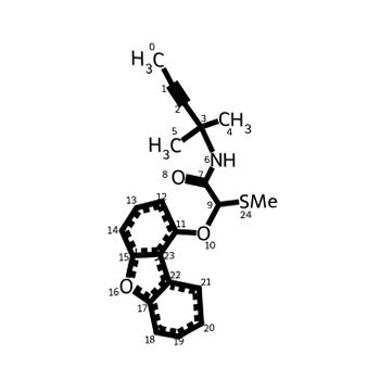 CC#CC(C)(C)NC(=O)C(Oc1cccc2oc3ccccc3c12)SC